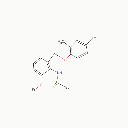 CCOc1cccc(COc2ccc(CC)cc2C)c1NC(=S)CC